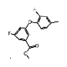 COC(=O)c1cc(F)cc(Oc2ccc(C)cc2F)c1